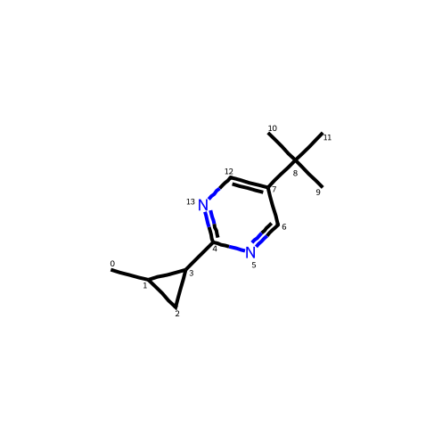 CC1CC1c1ncc(C(C)(C)C)cn1